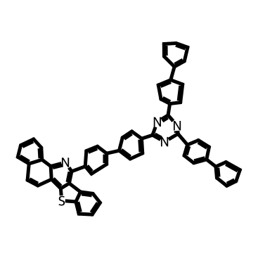 c1ccc(-c2ccc(-c3nc(-c4ccc(-c5ccccc5)cc4)nc(-c4ccc(-c5ccc(-c6nc7c8ccccc8ccc7c7sc8ccccc8c67)cc5)cc4)n3)cc2)cc1